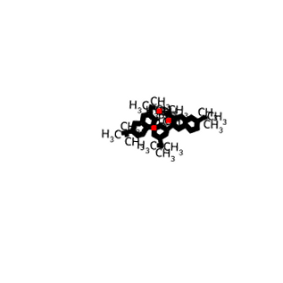 CC(C)(C)c1ccc(P(O)(O)(O)c2cc3ccc(C(C)(C)C)cc3cc2C(C)(C)C)c(-c2cc3ccc(C(C)(C)C)cc3cc2C(C)(C)C)c1